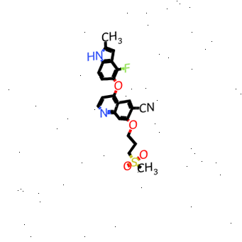 Cc1cc2c(F)c(Oc3ccnc4cc(OCCCS(C)(=O)=O)c(C#N)cc34)ccc2[nH]1